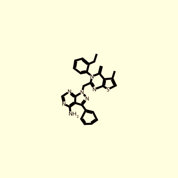 C=C1c2c(C)csc2N=C(Cn2nc(-c3ccccc3)c3c(N)ncnc32)N1c1ccccc1CC